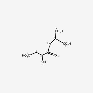 O=C(O)CC(O)C(=O)OC(C(=O)O)C(=O)O